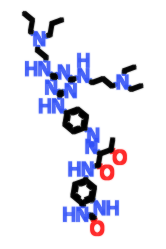 CCCN(CCC)CCNc1nc(NCCCN(CC)CC)nc(Nc2ccc(N=NC(C(C)=O)C(=O)Nc3ccc4[nH]c(=O)[nH]c4c3)cc2)n1